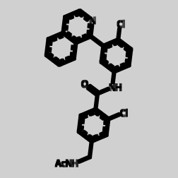 CC(=O)NCc1ccc(C(=O)Nc2ccc(Cl)c(-c3nccc4ccccc34)c2)c(Cl)c1